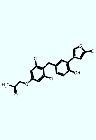 CC(=O)COc1cc(Cl)c(Cc2ccc(O)c(-c3csc(Cl)c3)c2)c(Cl)c1